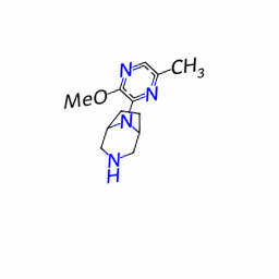 COc1ncc(C)nc1N1C2CCC1CNC2